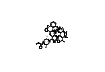 C=CC(=O)N1C[C@H](C)N(c2nc(=O)n(/C(C(=N)C(C)C)=C(/NC)C(C)C)c3nc(-c4c(N)cccc4F)c(Cl)cc23)C[C@H]1C